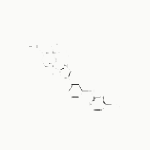 CC1(C)C[C@@](O)(c2ncc(-c3cc(F)cc(Nc4nccc(C(F)(F)F)n4)c3)s2)CC[C@@H]1C(=O)O